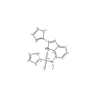 CN(c1cccc2cc(-c3nccs3)[nH]c12)S(=O)(=O)c1ccco1